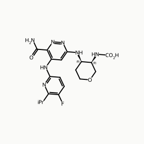 CC(C)c1nc(Nc2cc(N[C@@H]3CCOC[C@@H]3NC(=O)O)nnc2C(N)=O)ccc1F